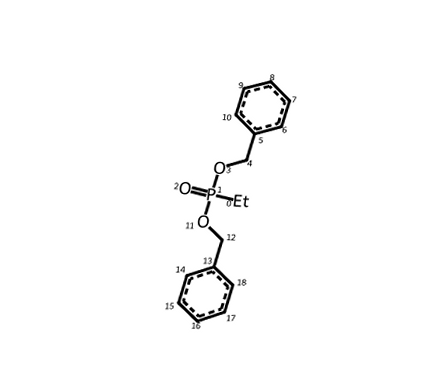 [CH2]CP(=O)(OCc1ccccc1)OCc1ccccc1